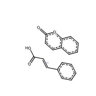 O=C(O)/C=C/c1ccccc1.O=c1ccc2ccccc2o1